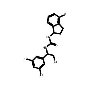 OCC(NC(=S)NC1CCc2c(F)cccc21)c1cc(Cl)cc(Cl)c1